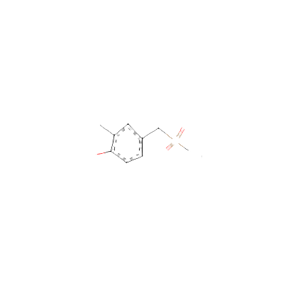 CS(=O)(=O)Cc1ccc(O)c(C(=O)O)c1